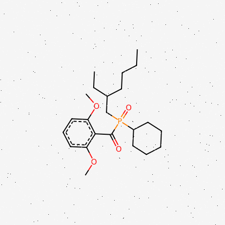 CCCCC(CC)CP(=O)(C(=O)c1c(OC)cccc1OC)C1CCCCC1